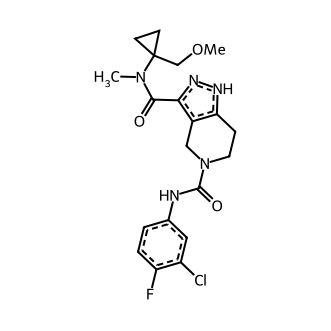 COCC1(N(C)C(=O)c2n[nH]c3c2CN(C(=O)Nc2ccc(F)c(Cl)c2)CC3)CC1